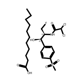 CCCCCCCCCCC(=O)O.CS(=O)(=O)c1ccc([C@@H](O)[C@@H](CF)NC(=O)C(Cl)Cl)cc1